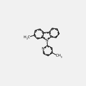 Cc1ccnc(-n2c3ccccc3c3ccc(C)cc32)c1